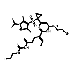 C=C(CC/C(=C\C)C1=NC(C2(S(=O)(=O)C3=C(C)N(C(F)F)NC3C)CC2)=C[C@@H](NCCO)N1)NC(=O)NCCF